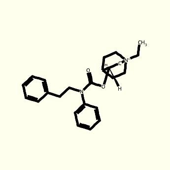 CC[N+]12CCC(CC1)[C@@H](OC(=O)N(CCc1ccccc1)c1ccccc1)C2